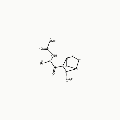 COC(=O)NN(C(=O)C1C2CCC(C2)[C@@H]1C(=O)O)C(C)C